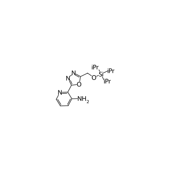 CC(C)[Si](OCc1nnc(-c2ncccc2N)o1)(C(C)C)C(C)C